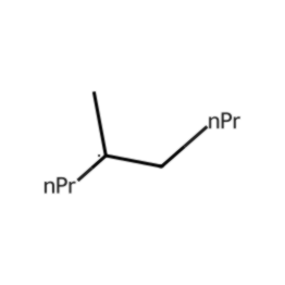 CCCC[C](C)CCC